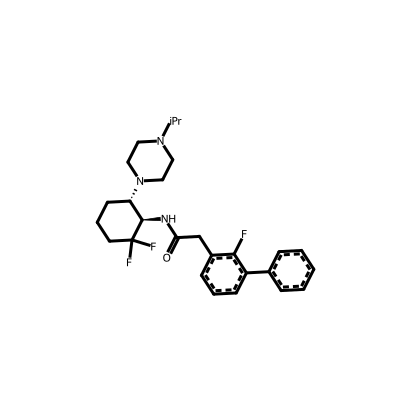 CC(C)N1CCN([C@H]2CCCC(F)(F)[C@@H]2NC(=O)Cc2cccc(-c3ccccc3)c2F)CC1